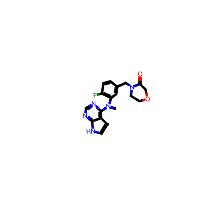 CN(c1cc(CN2CCOCC2=O)ccc1F)c1ncnc2[nH]ccc12